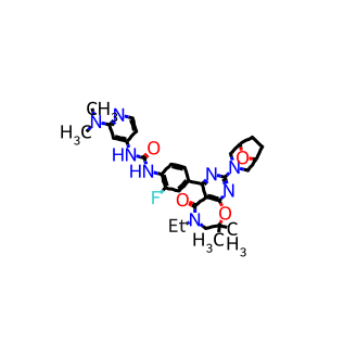 CCN1CC(C)(C)Oc2nc(N3CC4CCC(C3)O4)nc(-c3ccc(NC(=O)Nc4ccnc(N(C)C)c4)c(F)c3)c2C1=O